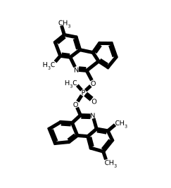 Cc1cc(C)c2nc(OP(C)(=O)Oc3nc4c(C)cc(C)cc4c4ccccc34)c3ccccc3c2c1